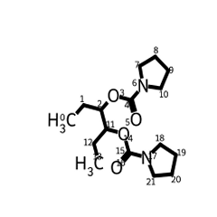 CCC(OC(=O)N1CCCC1)C(CC)OC(=O)N1CCCC1